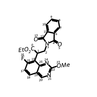 CCOC(=O)C(CN1C(=O)c2ccccc2C1=O)c1c(F)ccc2cnc(OC)nc12